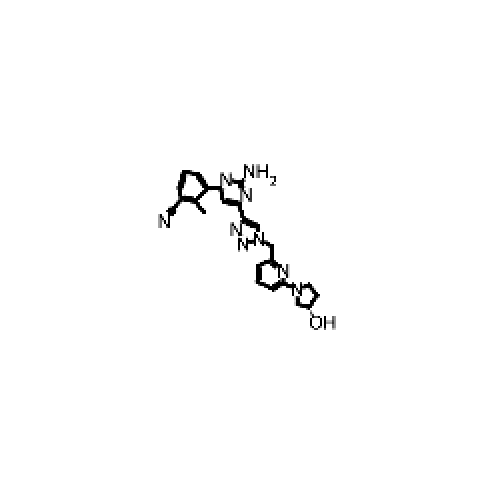 Cc1c(C#N)cccc1-c1cc(-c2cn(Cc3cccc(N4CC[C@H](O)C4)n3)nn2)nc(N)n1